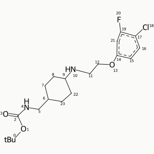 CC(C)(C)OC(=O)NCC1CCC(NCCOc2ccc(Cl)c(F)c2)CC1